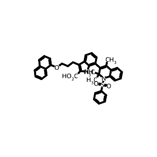 CC1=C(c2cccc3c(CCCOc4cccc5ccccc45)c(C(=O)O)[nH]c23)C(C)(C)N(S(=O)(=O)c2ccccc2)c2ccccc21